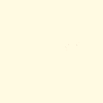 CCCCCCCCCCCCCCCCCCNC(=O)CCC(=O)O.[Gd]